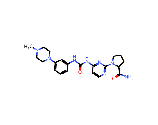 CN1CCN(c2cccc(NC(=O)Nc3ccnc(N4CCCC4C(N)=O)n3)c2)CC1